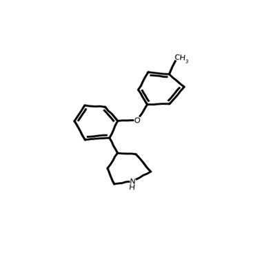 Cc1ccc(Oc2ccccc2C2CCNCC2)cc1